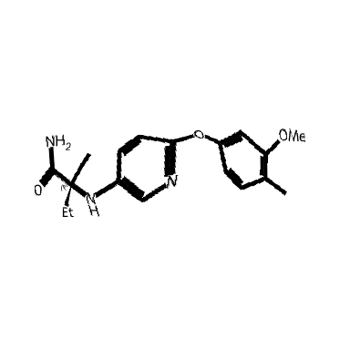 CC[C@@](C)(Nc1ccc(Oc2ccc(C)c(OC)c2)nc1)C(N)=O